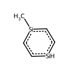 C[si]1cc[siH]cc1